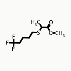 COC(=O)C(C)SCCCCC(F)(F)F